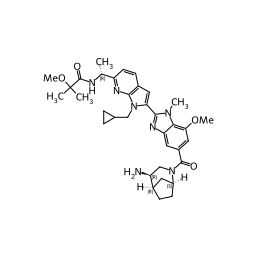 COc1cc(C(=O)N2C[C@H](N)[C@@H]3CC[C@H]2C3)cc2nc(-c3cc4ccc([C@@H](C)NC(=O)C(C)(C)OC)nc4n3CC3CC3)n(C)c12